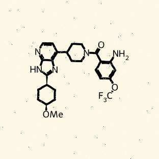 CO[C@H]1CC[C@@H](c2nc3c(C4CCN(C(=O)c5ccc(OC(F)(F)F)cc5N)CC4)ccnc3[nH]2)CC1